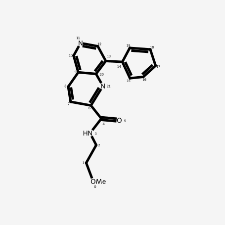 COCCNC(=O)c1ccc2cncc(-c3ccccc3)c2n1